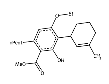 CCCCCc1cc(OCC)c(C2C=C(C)CCC2)c(O)c1C(=O)OC